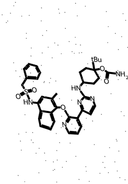 Cc1cc(NS(=O)(=O)Cc2ccccc2)c2ccccc2c1Oc1ncccc1-c1ccnc(NC2CCC(OC(N)=O)(C(C)(C)C)CC2)n1